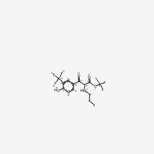 CCCNC(C(=O)OC(C)(C)C)C(=O)c1cnc(O)c(C(F)(F)F)c1